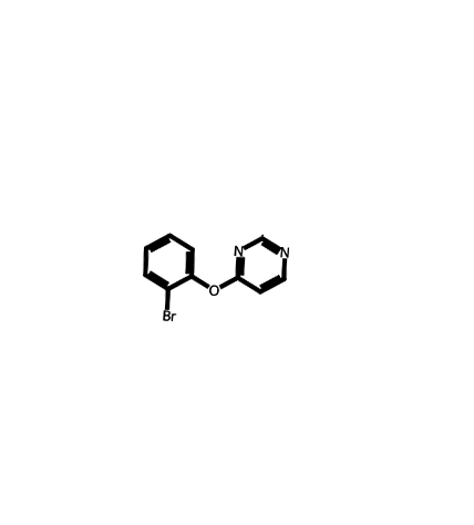 Brc1ccccc1Oc1ccn[c]n1